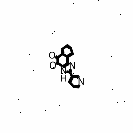 O=C1C(=O)c2[nH]c(-c3cccnc3)nc2-c2ccccc21